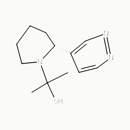 CC(C)(S)N1CCCC[C@@H]1c1ccnnc1